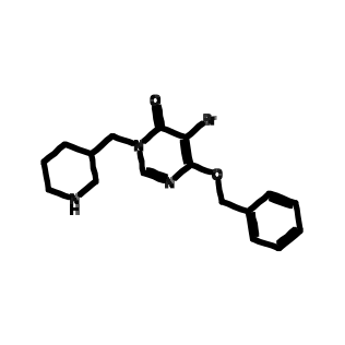 O=c1c(Br)c(OCc2ccccc2)ncn1CC1CCCNC1